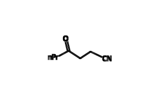 CCCC(=O)CCC#N